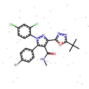 CNC(=O)c1c(-c2nnc(C(C)(C)C)o2)nn(-c2ccc(Cl)cc2Cl)c1-c1ccc(Br)cc1